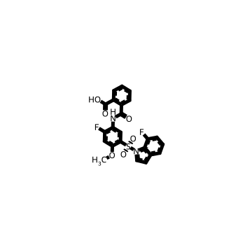 COc1cc(F)c(NC(=O)c2ccccc2C(=O)O)cc1S(=O)(=O)n1ccc2cccc(F)c21